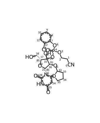 N#CCCOP(=O)(Oc1ccccc1Cl)O[C@@]1(O)[C@@H](CO)O[C@@H](n2ccc(=O)[nH]c2=O)[C@@H]1OC1CCCO1